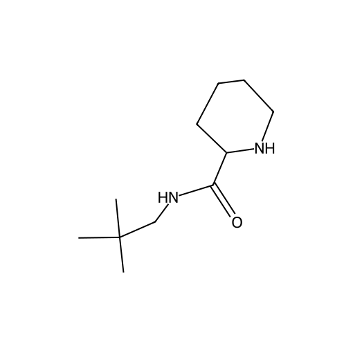 CC(C)(C)CNC(=O)C1CCCCN1